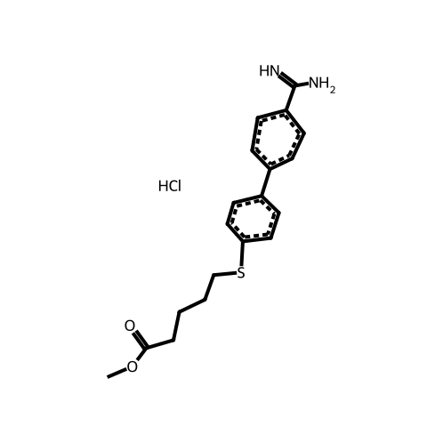 COC(=O)CCCCSc1ccc(-c2ccc(C(=N)N)cc2)cc1.Cl